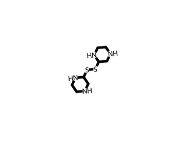 C1CNC(SSC2CNCCN2)CN1